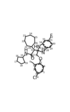 Cc1cc(Cl)ccc1OCC1(C(C(=O)NC2CCCC2)C2CCCCCC2)Nc2ccc(F)cc2N1